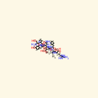 CC(C)[C@H](NC(=O)[C@H](Cc1ccccc1)NC(=O)[C@H](CCC(=O)O)NC(=O)[C@H](CC(N)=O)NC(=O)[C@H](Cc1ccc(O)cc1)NC(=O)[C@@H]1CCCN1C(=O)[C@@H](N)CO)C(=O)N[C@@H](CCCNC(=N)N)C(=O)O